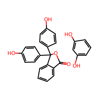 O=C1OC(c2ccc(O)cc2)(c2ccc(O)cc2)c2ccccc21.Oc1cccc(O)c1